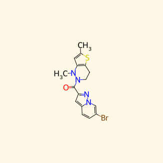 Cc1cc2c(s1)CCN(C(=O)c1cc3ccc(Br)cn3n1)N2C